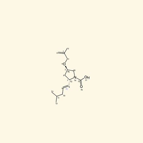 C=C(C)CO[C@@H]1C[C@@H](/C=C/CC(C)C)N(C(=O)O)C1